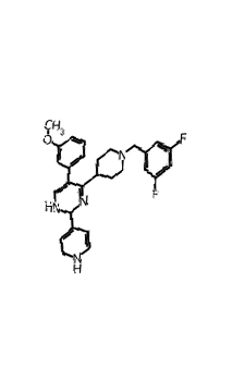 COc1cccc(C2=CNC(C3=CCNC=C3)N=C2C2CCN(Cc3cc(F)cc(F)c3)CC2)c1